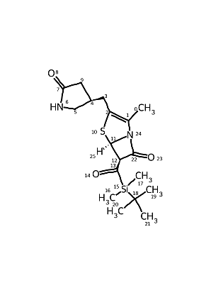 CC1=C(C[C@H]2CNC(=O)C2)S[C@@H]2[C@H](C(=O)[Si](C)(C)C(C)(C)C)C(=O)N12